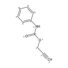 C#CCOC(=O)Nc1ccccc1